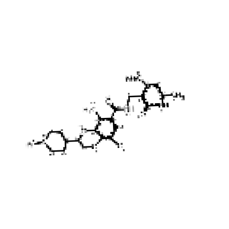 COc1cc(C)[nH]c(=O)c1CNC(=O)c1cc(Cl)c2c(c1C)OC(C1CCN(C(C)C)CC1)CO2